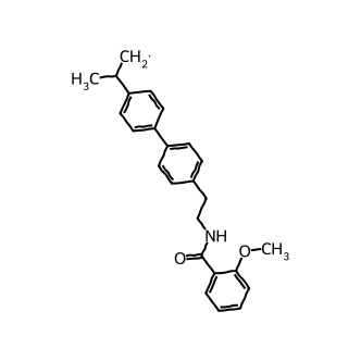 [CH2]C(C)c1ccc(-c2ccc(CCNC(=O)c3ccccc3OC)cc2)cc1